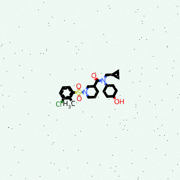 Cc1c(Cl)cccc1S(=O)(=O)N1CCCC(C(=O)N(CC2CC2)C2CCC(O)CC2)C1